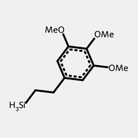 COc1cc(CC[SiH3])cc(OC)c1OC